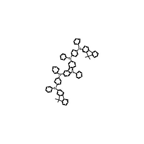 CC1(C)c2ccccc2-c2ccc(N(c3ccccc3)c3ccc(N(c4ccccc4)c4ccc5c(c4)c4cc(N(c6ccccc6)c6ccc(N(c7ccccc7)c7ccc8c(c7)C(C)(C)c7ccccc7-8)cc6)ccc4n5-c4ccccc4)cc3)cc21